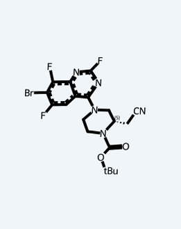 CC(C)(C)OC(=O)N1CCN(c2nc(F)nc3c(F)c(Br)c(F)cc23)C[C@@H]1CC#N